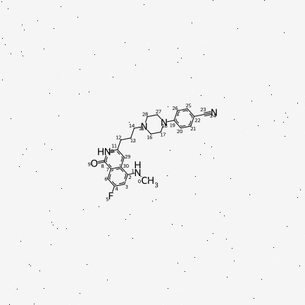 CNc1cc(F)cc2c(=O)[nH]c(CCCN3CCN(c4ccc(C#N)cc4)CC3)cc12